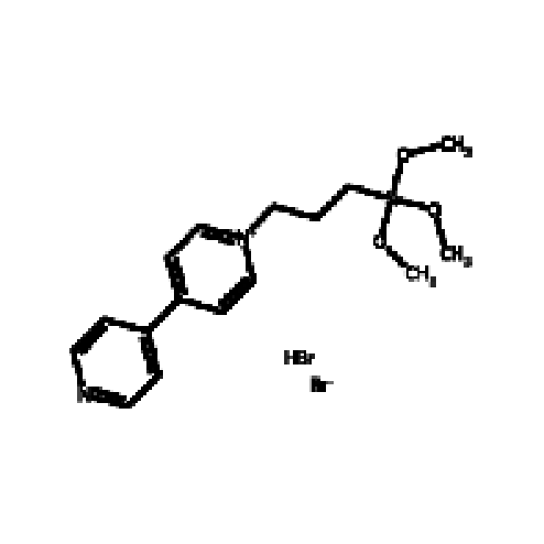 Br.CO[Si](CCC[n+]1ccc(-c2ccncc2)cc1)(OC)OC.[Br-]